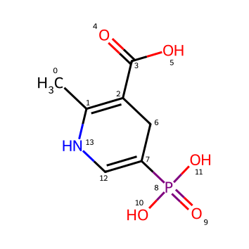 CC1=C(C(=O)O)CC(P(=O)(O)O)=CN1